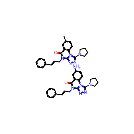 Cc1ccc2c(c1)c(=O)n(CC=Cc1ccccc1)c1nnc(N3CCCC3)n21.Nc1ccc2c(c1)c(=O)n(CC=Cc1ccccc1)c1nnc(N3CCCC3)n21